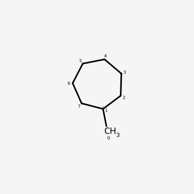 C[C]1CCCCCC1